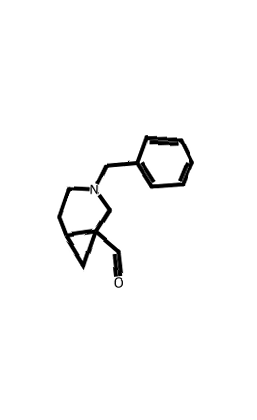 O=CC12CC1CCN(Cc1ccccc1)C2